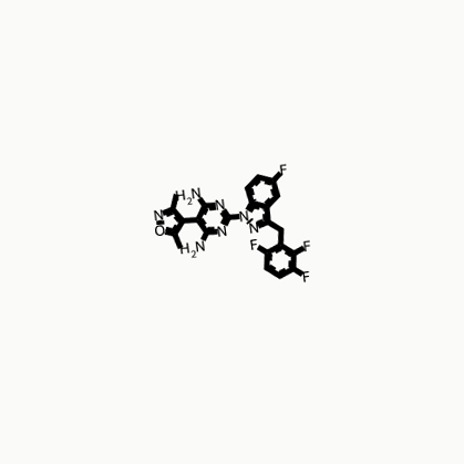 Cc1noc(C)c1-c1c(N)nc(-n2nc(Cc3c(F)ccc(F)c3F)c3cc(F)ccc32)nc1N